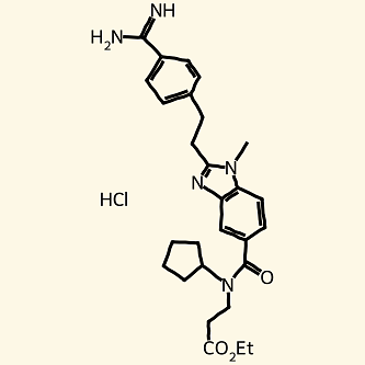 CCOC(=O)CCN(C(=O)c1ccc2c(c1)nc(CCc1ccc(C(=N)N)cc1)n2C)C1CCCC1.Cl